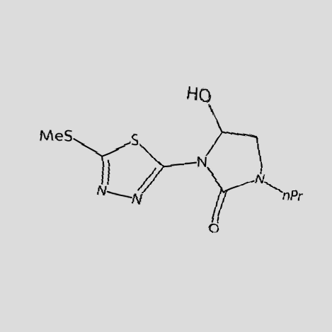 CCCN1CC(O)N(c2nnc(SC)s2)C1=O